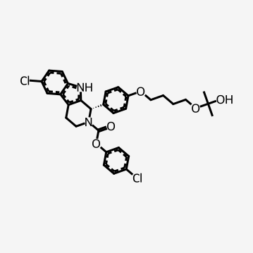 CC(C)(O)OCCCCOc1ccc([C@H]2c3[nH]c4ccc(Cl)cc4c3CCN2C(=O)Oc2ccc(Cl)cc2)cc1